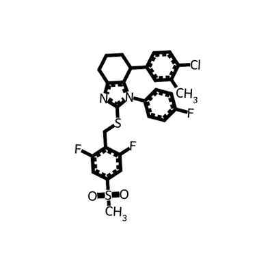 Cc1cc(C2CCCc3nc(SCc4c(F)cc(S(C)(=O)=O)cc4F)n(-c4ccc(F)cc4)c32)ccc1Cl